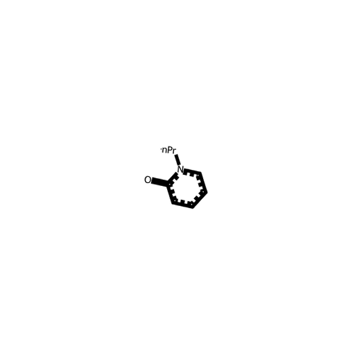 CC[CH]n1ccccc1=O